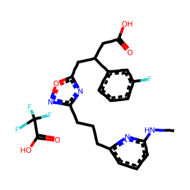 CNc1cccc(CCCc2noc(CC(CC(=O)O)c3cccc(F)c3)n2)n1.O=C(O)C(F)(F)F